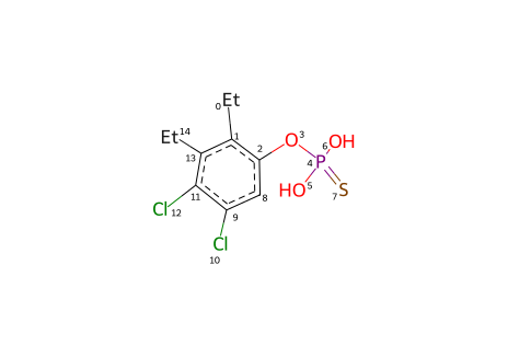 CCc1c(OP(O)(O)=S)cc(Cl)c(Cl)c1CC